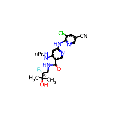 CCCNc1cc(Nc2ncc(C#N)cc2Cl)ncc1C(=O)NC[C@@H](F)C(C)(C)O